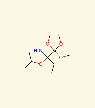 CCC(N)(OC(C)C)[Si](OC)(OC)OC